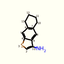 Nc1csc2cc3c(cc12)CCCC3